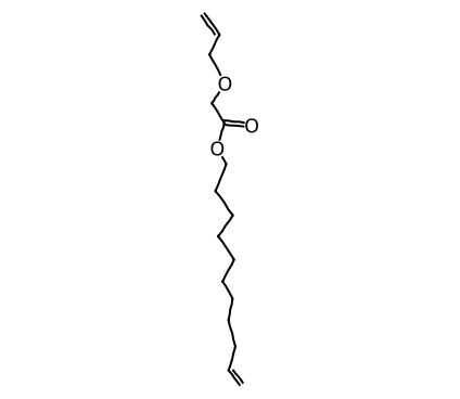 C=CCCCCCCCCCOC(=O)COCC=C